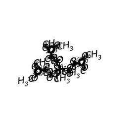 CCCC(COC(=O)OOC(=O)c1cc(OC)cc(OC)c1)(COC(=O)OOC(=O)c1cc(OC)cc(OC)c1)COC(=O)OOC(=O)c1cc(OC)cc(OC)c1